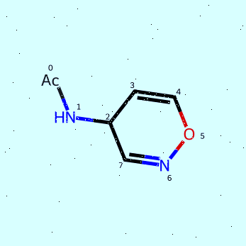 CC(=O)NC1C=CON=C1